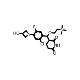 C[Si](C)(C)CCOC(c1cc(F)c(N2CC(O)C2)cc1Cl)C1CCC(=O)NC1=O